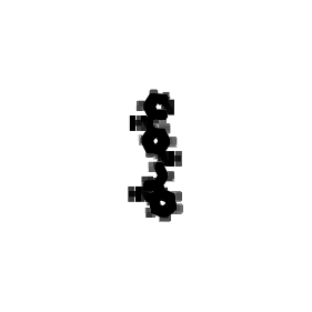 c1cncc(Nc2ccc(NCCc3c[nH]c4ccccc34)cc2)c1